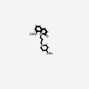 CCCCC1CCN(CCCn2c(=O)ccc3cccc(OC)c32)CC1